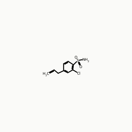 C=CCc1ccc(S(N)(=O)=O)c(Cl)c1